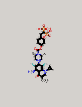 C[C@@H]1CN(c2c(F)c(N)c3c(=O)c(C(=O)O)cn(C4CC4)c3c2F)C[C@H](C)N1C(=O)Oc1ccc(CC(P(=O)(O)O)P(=O)(O)O)cc1